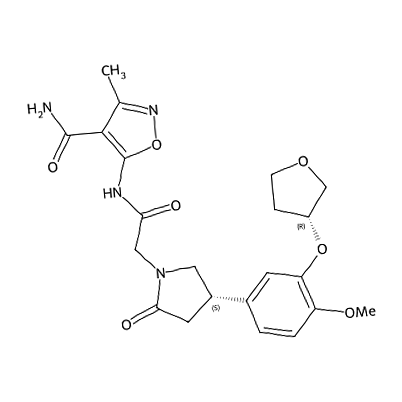 COc1ccc([C@@H]2CC(=O)N(CC(=O)Nc3onc(C)c3C(N)=O)C2)cc1O[C@@H]1CCOC1